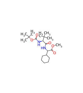 COC(=O)C(NC(=O)[C@@H](NC(=O)OC(C)(C)C)C(C)(C)C)C1CCCCC1